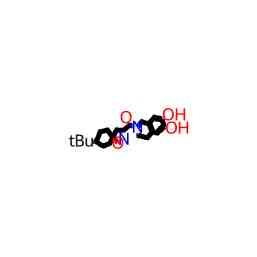 CC(C)(C)C1CCC2(CC1)CC(C(=O)N1CCc3cc(O)c(O)cc3C1)=NO2